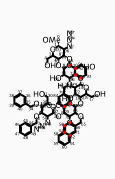 CO[C@H]1OC(CO)[C@@H](O[C@@H]2OC(C=O)[C@H](O[C@@H]3OC(CO)[C@@H](O[C@@H]4OC(C(=O)O)[C@@H](O[C@H]5OC(CO)[C@@H](OCc6ccccc6)[C@H](OCc6ccccc6)C5N=[N+]=[N-])[C@H](OCc5ccccc5)C4OCc4ccccc4)[C@H](O)C3N)[C@@H](OCc3ccccc3)C2O)[C@H](OCc2ccccc2)C1N=[N+]=[N-]